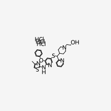 Cc1csc(Nc2ncc(SC(c3ccccn3)C3CCN(CCO)CC3)cc2Oc2ccccc2)n1.Cl.Cl.Cl